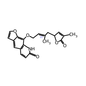 CC1=CC(C/C(C)=C/COc2c3[nH]c(=O)ccc3cc3ccoc23)OC1=O